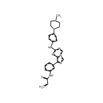 C=CC(=O)Nc1cccc(-c2ncn3cnc(Nc4ccc(N5CCN(C)CC5)cc4)nc23)c1